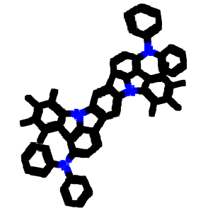 Cc1c(C)c(C)c2c(c1C)c1c(N(c3ccccc3)c3ccccc3)ccc3c4cc5c(cc4n2c31)c1ccc(N(c2ccccc2)c2ccccc2)c2c3c(C)c(C)c(C)c(C)c3n5c12